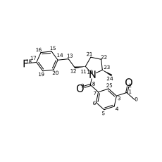 CC(=O)c1cccc(C(=O)N2[C@@H](CCc3ccc(F)cc3)CC[C@H]2C)c1